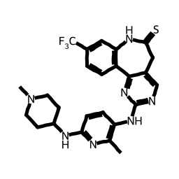 Cc1nc(NC2CCN(C)CC2)ccc1Nc1ncc2c(n1)-c1ccc(C(F)(F)F)cc1NC(=S)C2